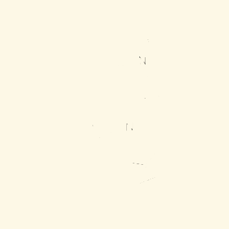 CC(C)N(c1ccccc1)c1cccc(CC(C)N(c2ccc(C(C)(C)C)cc2)c2ccc(C(C)(C)C)cc2)c1